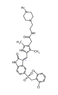 CC(=O)N1CCN(CCNC(=O)Cc2c(C)[nH]c(/C=C3\C(=O)Nc4ccc(S(=O)(=O)Cc5c(Cl)cccc5Cl)cc43)c2C)CC1